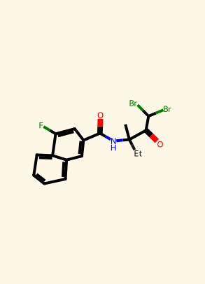 CCC(C)(NC(=O)c1cc(F)c2ccccc2c1)C(=O)C(Br)Br